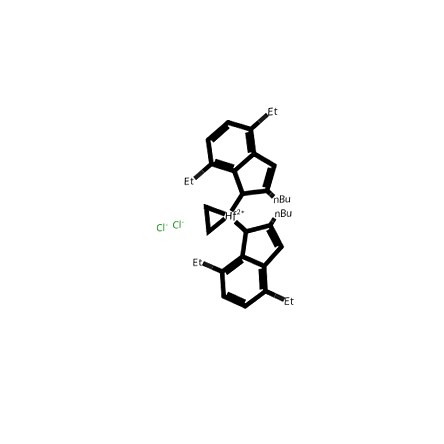 CCCCC1=Cc2c(CC)ccc(CC)c2[CH]1[Hf+2]1([CH]2C(CCCC)=Cc3c(CC)ccc(CC)c32)[CH2][CH2]1.[Cl-].[Cl-]